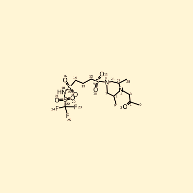 CC(=O)CN1C(C)CN(S(=O)(=O)CCCS(=O)(=O)NS(=O)(=O)C(F)(F)F)CC1C